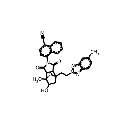 Cc1ccc2nn(CCC34CC(O)C(C)(O3)C3C(=O)N(c5ccc(C#N)c6ccccc56)C(=O)C34)nc2c1